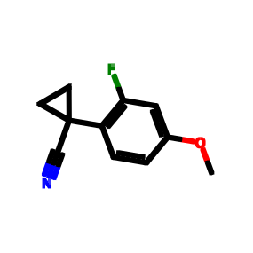 COc1ccc(C2(C#N)CC2)c(F)c1